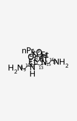 CCC[Si](OCC)(OCC)OCC.NCCNCCNCCN